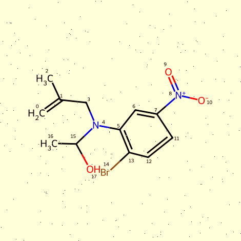 C=C(C)CN(c1cc([N+](=O)[O-])ccc1Br)C(C)O